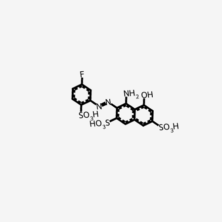 Nc1c(/N=N/c2cc(F)ccc2S(=O)(=O)O)c(S(=O)(=O)O)cc2cc(S(=O)(=O)O)cc(O)c12